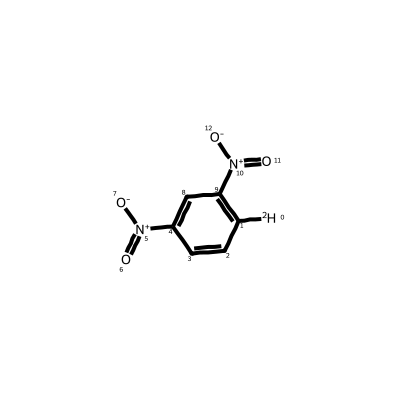 [2H]c1ccc([N+](=O)[O-])cc1[N+](=O)[O-]